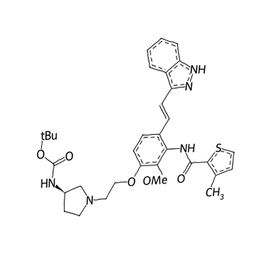 COc1c(OCCN2CC[C@@H](NC(=O)OC(C)(C)C)C2)ccc(/C=C/c2n[nH]c3ccccc23)c1NC(=O)c1sccc1C